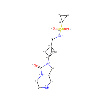 O=C1N2CCNCC2CN1C12CC(CNS(=O)(=O)C3CC3)(C1)C2